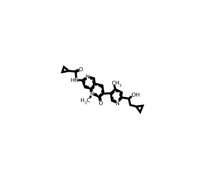 Cc1cc(C(O)CC2CC2)ncc1-c1cc2cnc(NC(=O)C3CC3)cc2n(C)c1=O